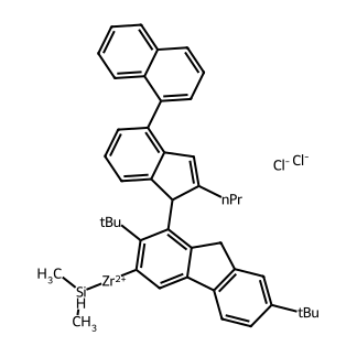 CCCC1=Cc2c(-c3cccc4ccccc34)cccc2C1c1c2c(c[c]([Zr+2][SiH](C)C)c1C(C)(C)C)-c1ccc(C(C)(C)C)cc1C2.[Cl-].[Cl-]